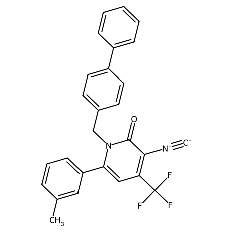 [C-]#[N+]c1c(C(F)(F)F)cc(-c2cccc(C)c2)n(Cc2ccc(-c3ccccc3)cc2)c1=O